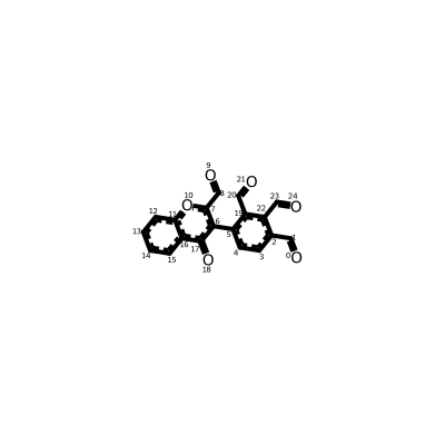 O=Cc1ccc(-c2c(C=O)oc3ccccc3c2=O)c(C=O)c1C=O